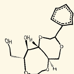 OC[C@H]1OCO[C@@H]2COC(c3ccccc3)O[C@H]2[C@@H]1O